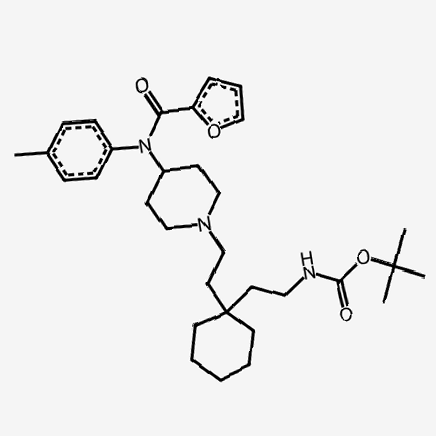 Cc1ccc(N(C(=O)c2ccco2)C2CCN(CCC3(CCNC(=O)OC(C)(C)C)CCCCC3)CC2)cc1